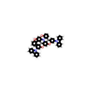 c1cc2c3c(c1)B1c4ccc(-n5c6ccccc6c6ccccc65)cc4Oc4cc5c6c(c41)N3c1c(cc3oc4ccccc4c3c1B6c1ccc(-n3c4ccccc4c4ccccc43)cc1O5)O2